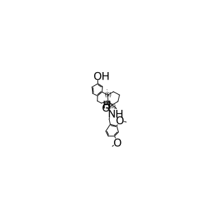 COc1ccc(CNC(=O)[C@@]2(C)CCC[C@]3(C)c4cc(O)ccc4CC[C@@H]23)c(OC)c1